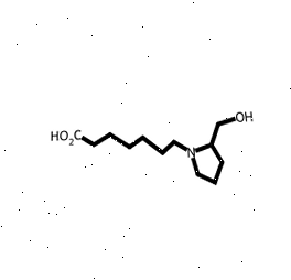 O=C(O)CCCCCCN1CCCC1CO